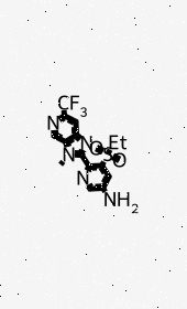 CCS(=O)(=O)c1cc(N)cnc1-c1nc2cc(C(F)(F)F)ncc2n1C